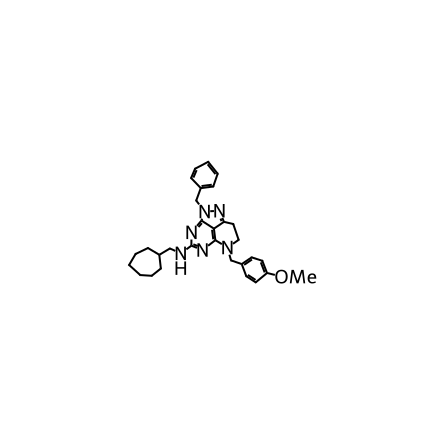 COc1ccc(CN2CCc3nn(Cc4ccccc4)c4nc(NCC5CCCCCC5)nc2c34)cc1